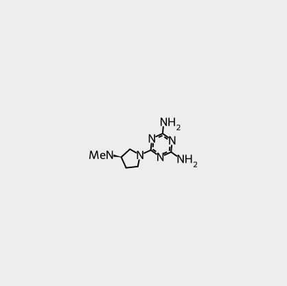 CN[C@@H]1CCN(c2nc(N)nc(N)n2)C1